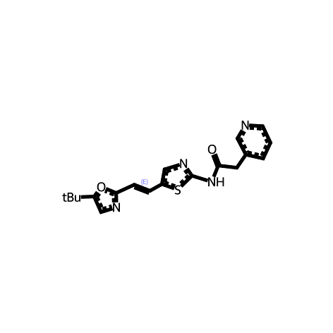 CC(C)(C)c1cnc(/C=C/c2cnc(NC(=O)Cc3cccnc3)s2)o1